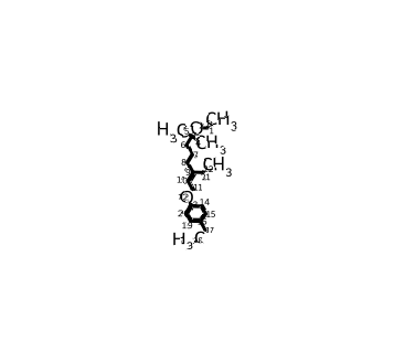 CCOC(C)(C)CCC/C(=C/COc1ccc(CC)cc1)CC